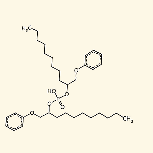 CCCCCCCCCC(COc1ccccc1)OP(=O)(O)OC(CCCCCCCCC)COc1ccccc1